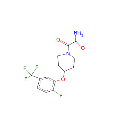 NC(=O)C(=O)N1CCC(Oc2cc(C(F)(F)F)ccc2F)CC1